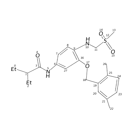 CCC(CC)C(=O)Nc1ccc(NCS(C)(=O)=O)c(OCc2cc(C)ccc2C)c1